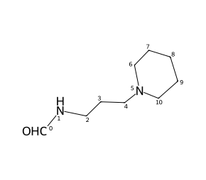 O=CNCCCN1CCCCC1